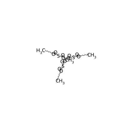 CCCCCCCCOC(=O)CCSCCC(=O)OCC(C)(COC(=O)CCSCCC(=O)OCCCCCCCC)COC(=O)CCSCCC(=O)OCCCCCCCC